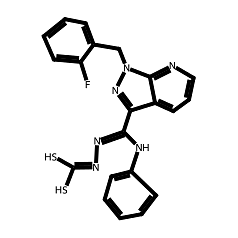 Fc1ccccc1Cn1nc(/C(=N/N=C(S)S)Nc2ccccc2)c2cccnc21